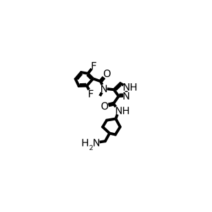 CN(C(=O)c1c(F)cccc1F)c1c[nH]nc1C(=O)NC1CCC(CN)CC1